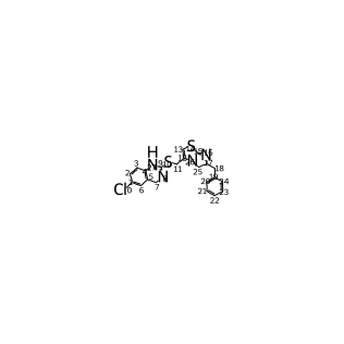 Clc1ccc2c(c1)CN=C(SCC1=CSC3=NC(Cc4ccccc4)CN13)N2